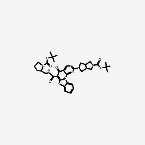 CC(C)(C)OC(=O)N1CC2CN(c3ncc4c(=O)c(C(=O)NCC5CCCN5C(=O)OC(C)(C)C)c5sc6ccccc6n5c4n3)CC2C1